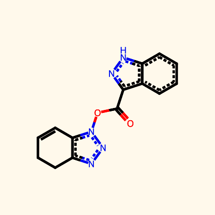 O=C(On1nnc2c1C=CCC2)c1n[nH]c2ccccc12